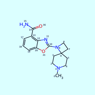 CN1CCC2(CC1)CCN2c1nc2c(C(N)=O)[c]ccc2o1